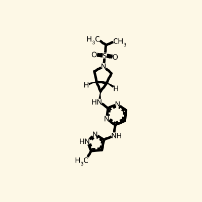 Cc1cc(Nc2ccnc(N[C@H]3[C@@H]4CN(S(=O)(=O)C(C)C)C[C@@H]43)n2)n[nH]1